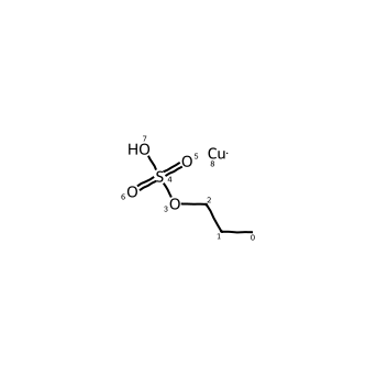 CCCOS(=O)(=O)O.[Cu]